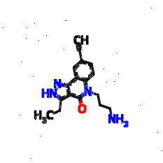 C#Cc1ccc2c(c1)c1n[nH]c(CC)c1c(=O)n2CCCN